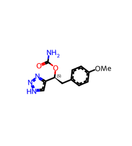 COc1ccc(C[C@H](OC(N)=O)c2c[nH]nn2)cc1